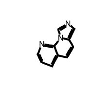 c1cnc2c(c1)ccc1cncn12